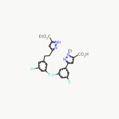 CCOC(=O)c1cc(CCc2cc(F)cc(F)c2)n[nH]1.CCn1nc(-c2cc(F)cc(F)c2)cc1C(=O)O